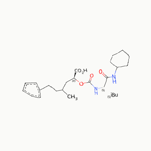 CC[C@H](C)[C@H](NC(=O)O[C@@H](CC(C)CCc1ccccc1)C(=O)O)C(=O)NC1CCCCC1